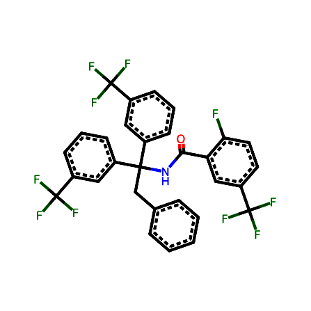 O=C(NC(Cc1ccccc1)(c1cccc(C(F)(F)F)c1)c1cccc(C(F)(F)F)c1)c1cc(C(F)(F)F)ccc1F